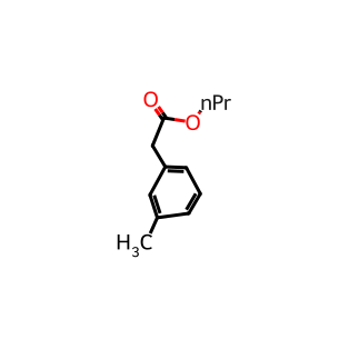 CCCOC(=O)Cc1cccc(C)c1